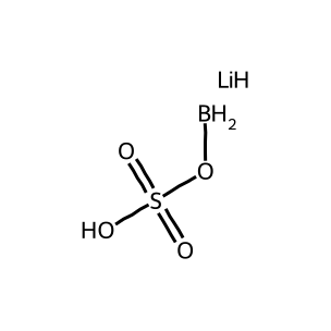 BOS(=O)(=O)O.[LiH]